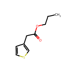 CCCOC(=O)Cc1ccsc1